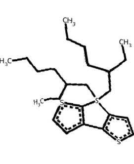 CCCCC(CC)CS1(CC(CC)CCCC)c2ccsc2-c2ccsc21